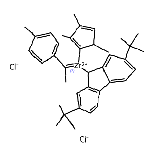 CC1=CC(C)[C](/[Zr+2](=[C](/C)c2ccc(C)cc2)[CH]2c3cc(C(C)(C)C)ccc3-c3ccc(C(C)(C)C)cc32)=C1C.[Cl-].[Cl-]